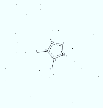 [CH2]c1ncoc1C